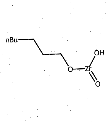 CCCCCCC[O][Zr](=[O])[OH]